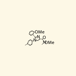 COc1ccccc1-c1nc(C(=O)N(C)OC)cn1-c1ccc(C)cc1